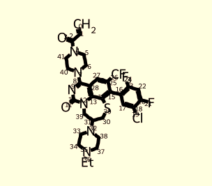 C=CC(=O)N1CCN(c2nc(=O)n3c4c(c(-c5cc(Cl)c(F)cc5F)c(C(F)(F)F)cc24)SCC(N2CCN(CC)CC2)C3)CC1